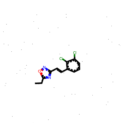 CCc1nc(/C=C/c2cccc(Cl)c2Cl)no1